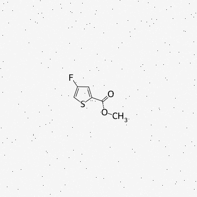 COC(=O)c1cc(F)cs1